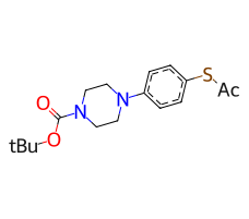 CC(=O)Sc1ccc(N2CCN(C(=O)OC(C)(C)C)CC2)cc1